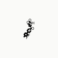 Cc1ccc(C2CCN(C(=O)[C@H]3C[C@]4(COC(=O)N4)C3)CC2)c(F)c1F